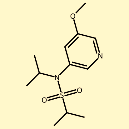 COc1cncc(N(C(C)C)S(=O)(=O)C(C)C)c1